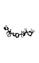 O=C(c1coc(-c2ccc(CNC(=O)C(F)(F)c3ccsc3)cc2)n1)N1CCCC(F)(F)C1